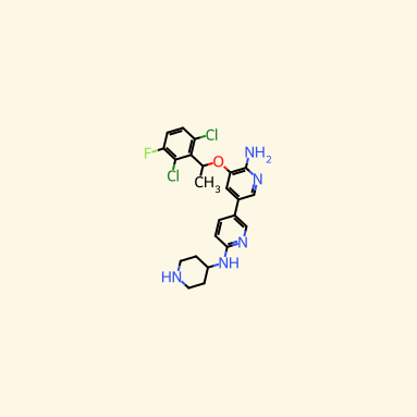 CC(Oc1cc(-c2ccc(NC3CCNCC3)nc2)cnc1N)c1c(Cl)ccc(F)c1Cl